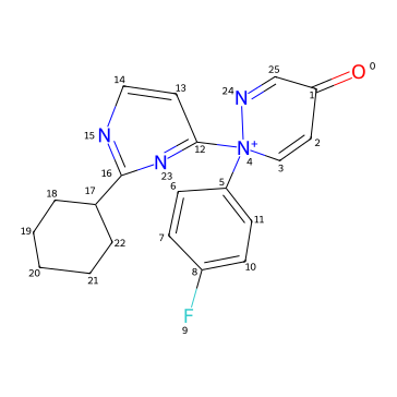 O=C1C=C[N+](c2ccc(F)cc2)(c2ccnc(C3CCCCC3)n2)N=C1